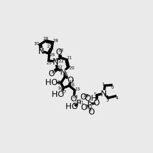 CCN(CC)COP(=O)(O)OP(=O)(O)OCC1OC(n2ccc(=O)n(Cc3ccccn3)c2=O)[C@@H](O)C1O